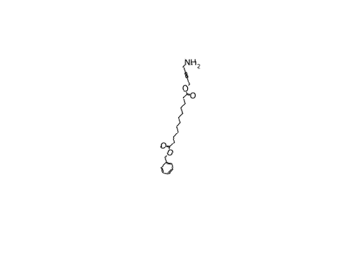 NCC#CCOC(=O)CCCCCCCCCCC(=O)OCc1ccccc1